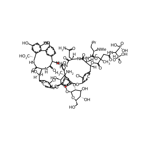 CN[C@H](CC(C)C)C(=O)N[C@H]1C(=O)N[C@@H](CC(N)=O)C(=O)N[C@H]2C(=O)N[C@H]3C(=O)N[C@H](C(=O)N[C@H](C(=O)O)c4cc(O)cc(O)c4-c4cc3ccc4O)[C@H](O)c3ccc(c(Cl)c3)Oc3cc2cc(c3O[C@@H]2O[C@H](CO)[C@@H](O)[C@H](O)[C@H]2O[C@H]2C[C@](C)(N)[C@H](O)[C@H](C)O2)Oc2ccc(cc2Cl)[C@H]1OC(=O)C(C)(C)CC(=O)NC(P(=O)(O)O)P(=O)(O)O